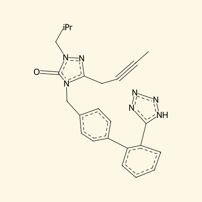 CC#CCc1nn(CC(C)C)c(=O)n1Cc1ccc(-c2ccccc2-c2nnn[nH]2)cc1